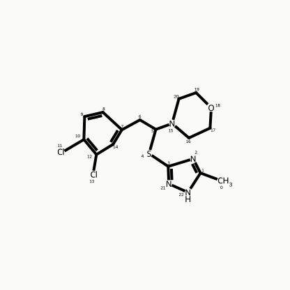 Cc1nc(SC(Cc2ccc(Cl)c(Cl)c2)N2CCOCC2)n[nH]1